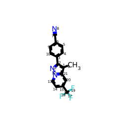 Cc1c(-c2ccc(C#N)cc2)nn2ccc(C(F)(F)F)cc12